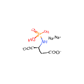 O=C([O-])C[C@H](NP(=O)(O)O)C(=O)[O-].[Na+].[Na+]